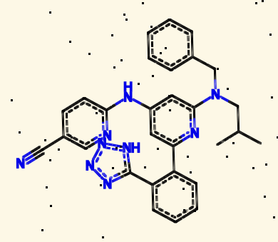 CC(C)CN(Cc1ccccc1)c1cc(Nc2ccc(C#N)cn2)cc(-c2ccccc2-c2nnn[nH]2)n1